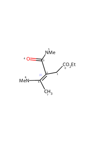 CCOC(=O)C/C(C(=O)NC)=C(\C)NC